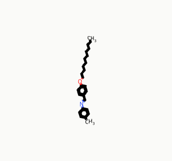 CCCCCCCCCCCCOc1ccc(C=Nc2ccc(C)cc2)cc1